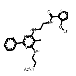 CCOc1ccsc1C(=O)NCCNc1nc(-c2ccccc2)nc(NCCNC(C)=O)c1C